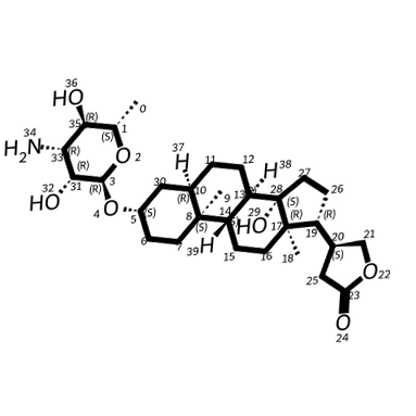 C[C@@H]1O[C@@H](O[C@H]2CC[C@@]3(C)[C@H](CC[C@@H]4[C@@H]3CC[C@]3(C)[C@@H]([C@H]5COC(=O)C5)CC[C@]43O)C2)[C@H](O)[C@H](N)[C@H]1O